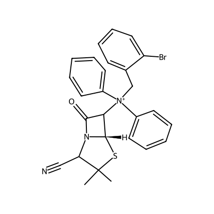 CC1(C)S[C@H]2C([N+](Cc3ccccc3Br)(c3ccccc3)c3ccccc3)C(=O)N2C1C#N